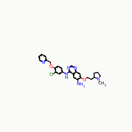 CN1CCCC1CCOc1cc2ncnc(Nc3ccc(OCc4ccccn4)c(Cl)c3)c2cc1N